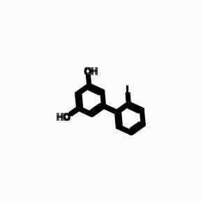 Oc1cc(O)cc(-c2ccccc2I)c1